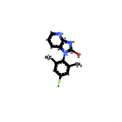 Cc1cc(F)cc(C)c1-n1c(Br)nc2ncccc21